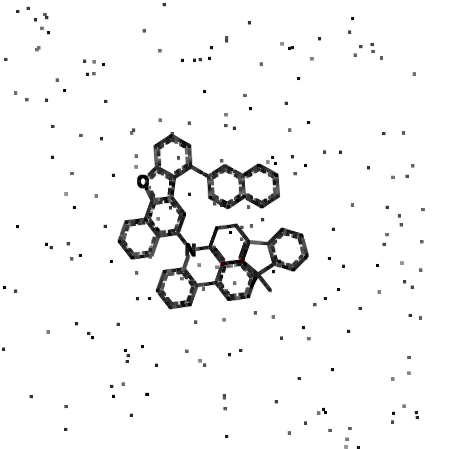 CC1(C)C2=C(CCC(N(c3ccccc3-c3ccccc3)c3cc4c(oc5cccc(-c6ccc7ccccc7c6)c54)c4ccccc34)=C2)c2ccccc21